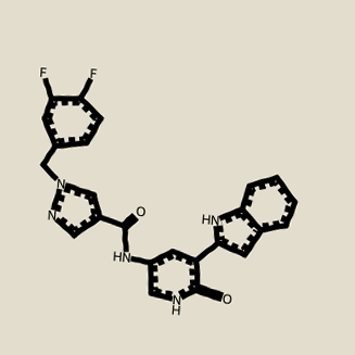 O=C(Nc1c[nH]c(=O)c(-c2cc3ccccc3[nH]2)c1)c1cnn(Cc2ccc(F)c(F)c2)c1